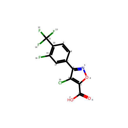 O=C(O)c1onc(-c2ccc(C(F)(F)F)c(F)c2)c1Cl